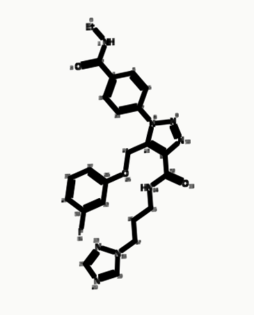 CCNC(=O)c1ccc(-n2nnc(C(=O)NCCCn3cncn3)c2COc2cccc(F)c2)cc1